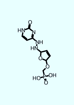 O=c1nc(NNC2C=CC(OCP(=O)(O)O)O2)cc[nH]1